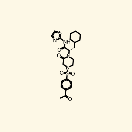 CC(=O)c1ccc(S(=O)(=O)N2CCN([C@@H](CC3CCCCC3)C(=O)Nc3nccs3)C(=O)C2)cc1